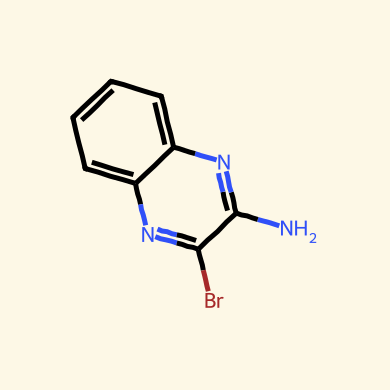 Nc1nc2ccccc2nc1Br